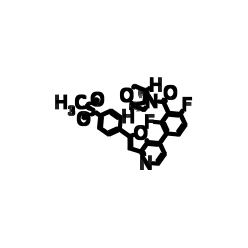 CS(=O)(=O)c1ccc(-c2cc3nccc(-c4ccc(F)c(C(=O)N5C[C@H]6C[C@@H]5CO6)c4F)c3o2)cc1